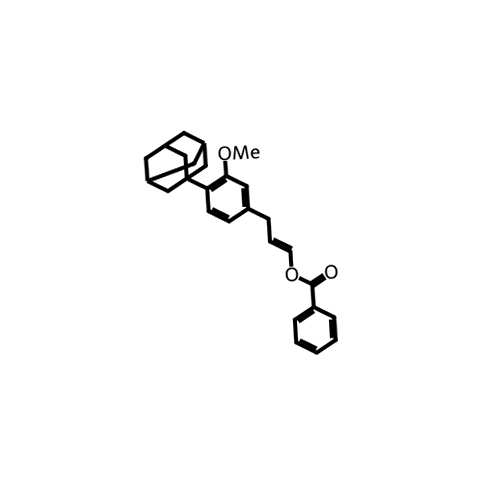 COc1cc(CC=COC(=O)c2ccccc2)ccc1C12CC3CC(CC(C3)C1)C2